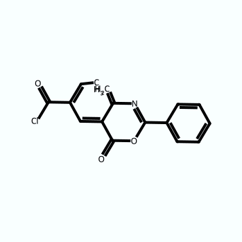 C=c1nc(-c2ccccc2)oc(=O)/c1=C/C(=C\C)C(=O)Cl